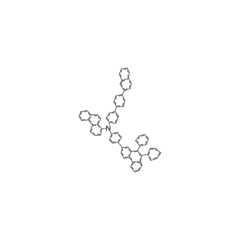 c1ccc(-c2c(-c3ccccc3)c3cc(-c4ccc(N(c5ccc(-c6ccc(-c7ccc8ccccc8c7)cc6)cc5)c5cccc6c5ccc5ccccc56)cc4)ccc3c3ccccc23)cc1